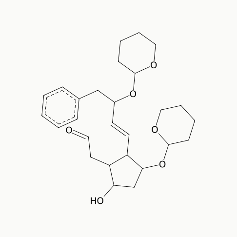 O=CCC1C(O)CC(OC2CCCCO2)C1C=CC(Cc1ccccc1)OC1CCCCO1